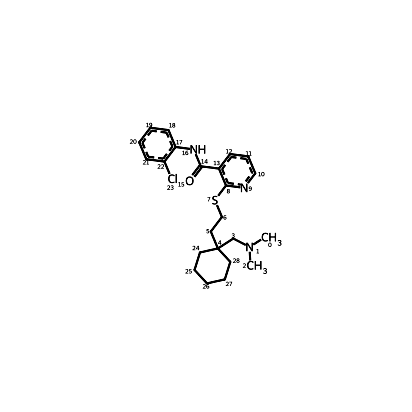 CN(C)CC1(CCSc2ncccc2C(=O)Nc2ccccc2Cl)CCCCC1